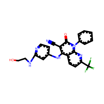 N#Cc1c(Nc2ccnc(NCCO)c2)c2ccc(C(F)(F)F)nc2n(-c2ccccc2)c1=O